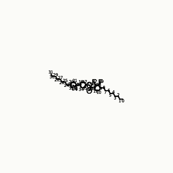 CCCCCCCCCc1ccc(C(=O)Oc2ccc(-c3ccc(CCCCCCCC)cn3)cc2)c(F)c1F